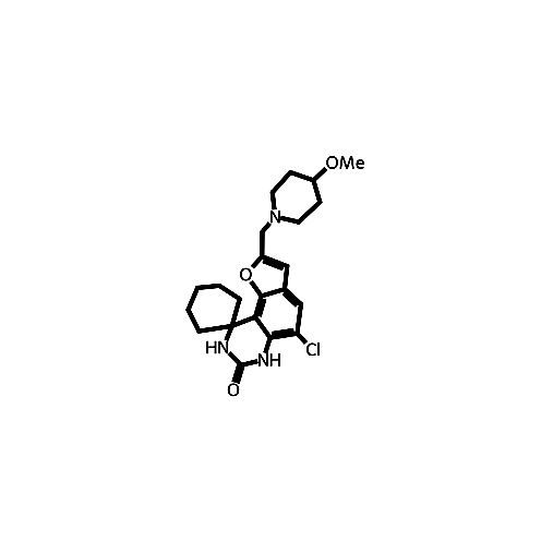 COC1CCN(Cc2cc3cc(Cl)c4c(c3o2)C2(CCCCC2)NC(=O)N4)CC1